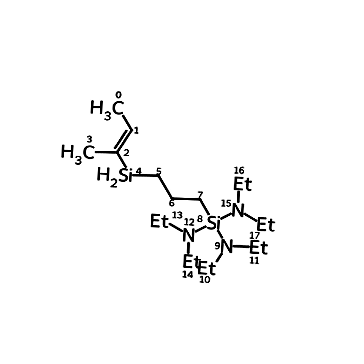 CC=C(C)[SiH2]CCC[Si](N(CC)CC)(N(CC)CC)N(CC)CC